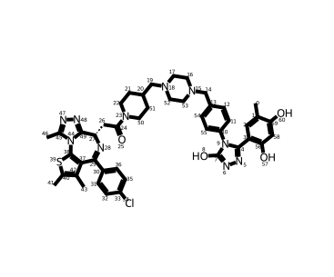 Cc1cc(-c2nnc(O)n2-c2ccc(CN3CCN(CC4CCN(C(=O)C[C@@H]5N=C(c6ccc(Cl)cc6)c6c(sc(C)c6C)-n6c(C)nnc65)CC4)CC3)cc2)c(O)cc1O